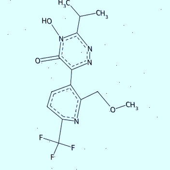 COCc1nc(C(F)(F)F)ccc1-c1nnc(C(C)C)n(O)c1=O